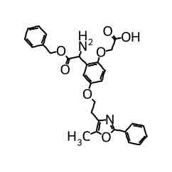 Cc1oc(-c2ccccc2)nc1CCOc1ccc(OCC(=O)O)c(C(N)C(=O)OCc2ccccc2)c1